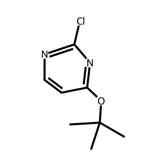 CC(C)(C)Oc1ccnc(Cl)n1